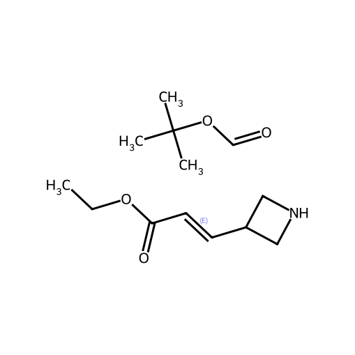 CC(C)(C)OC=O.CCOC(=O)/C=C/C1CNC1